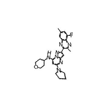 Cc1cc(F)c2nc(C)c(-c3cc4nc(N5CCCC5)cc(NC5CCOCC5)n4n3)nc2c1